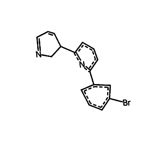 Brc1cccc(-c2cccc(C3C=CC=NC3)n2)c1